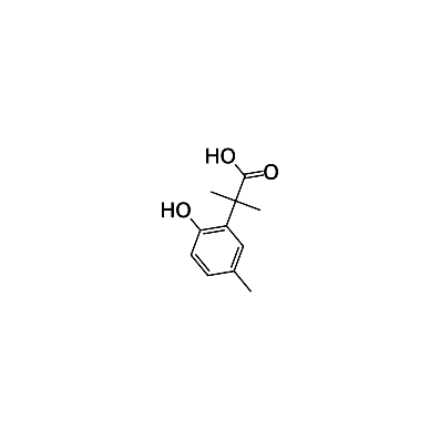 Cc1ccc(O)c(C(C)(C)C(=O)O)c1